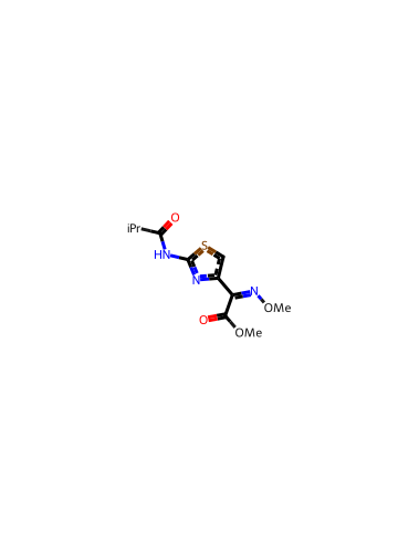 CON=C(C(=O)OC)c1csc(NC(=O)C(C)C)n1